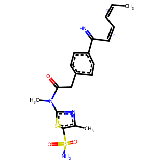 C/C=C\C=C/C(=N)c1ccc(CC(=O)N(C)c2nc(C)c(S(N)(=O)=O)s2)cc1